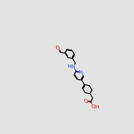 O=Cc1cccc(CNc2ccc(C3=CCC(CC(=O)O)CC3)cn2)c1